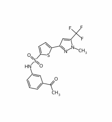 CC(=O)c1cccc(NS(=O)(=O)c2ccc(-c3cc(C(F)(F)F)n(C)n3)s2)c1